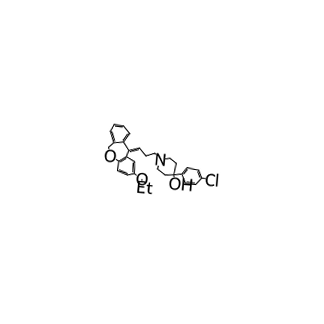 CCOc1ccc2c(c1)C(=CCCN1CCC(O)(c3ccc(Cl)cc3)CC1)c1ccccc1CO2